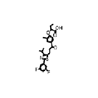 CCC(Oc1ccc(C(=O)CCc2sc(-c3cc(F)cc(F)c3)nc2C(C)C)cc1C)C(=O)O